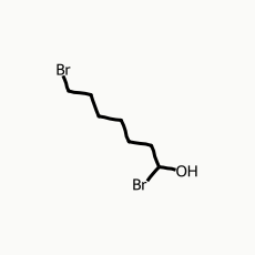 OC(Br)CCCCCCBr